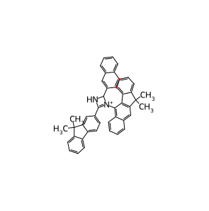 CC1(C)c2ccccc2-c2ccc(C3=[N+](c4c5c(cc6ccccc46)C(C)(C)c4ccccc4-5)C(c4ccc5ccccc5c4)N3)cc21